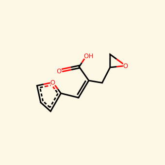 O=C(O)/C(=C\c1ccco1)CC1CO1